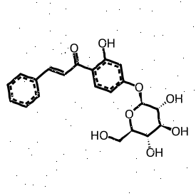 O=C(C=Cc1ccccc1)c1ccc(O[C@@H]2O[C@H](CO)[C@@H](O)[C@H](O)[C@H]2O)cc1O